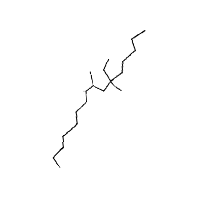 CCCCCCC[CH]C(C)CC(C)(CC)CCCCC